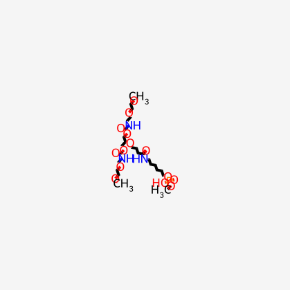 COCCOCCNC(=O)OCC(COC(=O)NCOCCOC)OCCCC(=O)NCCCCCCOP(=O)(O)OC